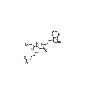 CCC(=O)CCCCCC(NC(=O)CC#N)C(=O)NCCc1c[nH]c2ccccc12